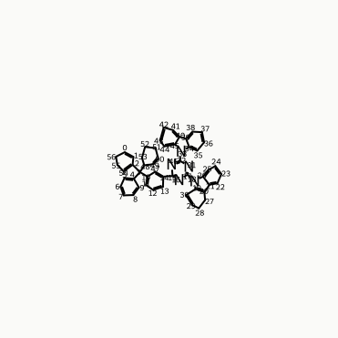 C1=CC(C(c2ccccc2)(c2cccc(-c3nc(-n4c5c(c6ccccc64)CCC=C5)nc(-n4c5ccccc5c5ccccc54)n3)c2)C2C=CCCC2)=CCC1